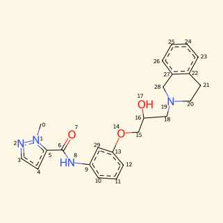 Cn1nccc1C(=O)Nc1cccc(OCC(O)CN2CCc3ccccc3C2)c1